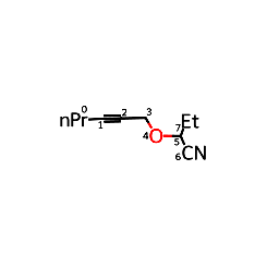 CCCC#CCOC(C#N)CC